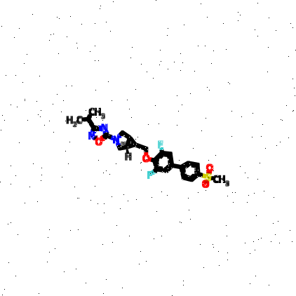 CC(C)c1noc(N2CC3C(COc4c(F)cc(-c5ccc(S(C)(=O)=O)cc5)cc4F)[C@H]3C2)n1